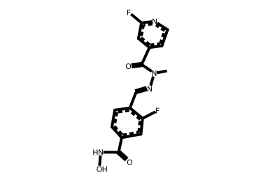 CN(N=Cc1ccc(C(=O)NO)cc1F)C(=O)c1ccnc(F)c1